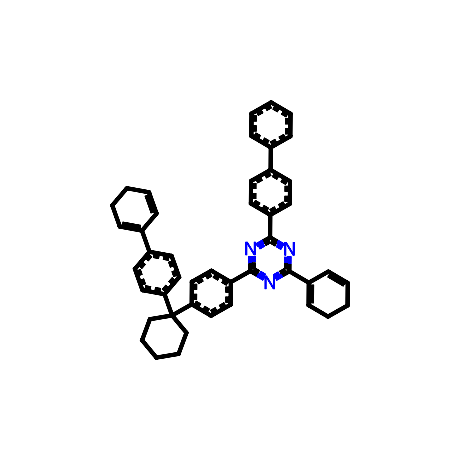 C1=CC(c2ccc(C3(c4ccc(-c5nc(C6=CCCC=C6)nc(-c6ccc(-c7ccccc7)cc6)n5)cc4)CCCCC3)cc2)=CCC1